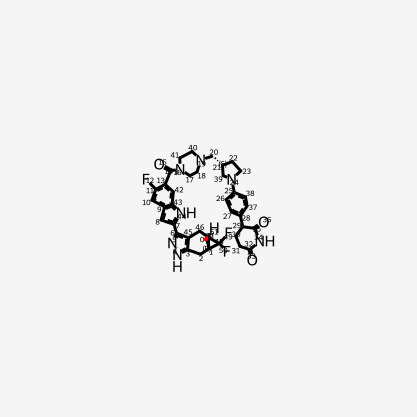 C[C@@]12Cc3[nH]nc(-c4cc5cc(F)c(C(=O)N6CCN(C[C@@H]7CCN(c8ccc(C9CCC(=O)NC9=O)cc8)C7)CC6)cc5[nH]4)c3C[C@@H]1C2(F)F